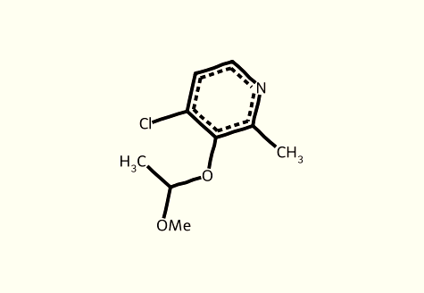 COC(C)Oc1c(Cl)ccnc1C